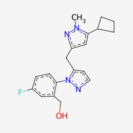 Cn1nc(Cc2ccnn2-c2ccc(F)cc2CO)cc1C1CCC1